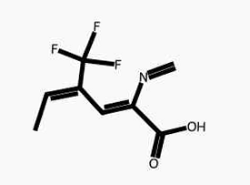 C=N/C(=C\C(=C/C)C(F)(F)F)C(=O)O